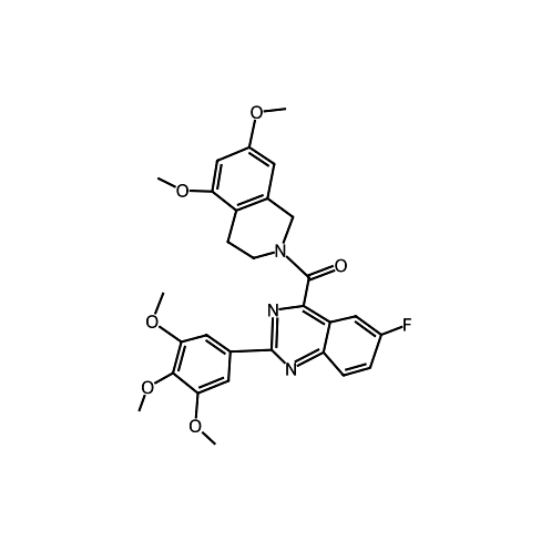 COc1cc2c(c(OC)c1)CCN(C(=O)c1nc(-c3cc(OC)c(OC)c(OC)c3)nc3ccc(F)cc13)C2